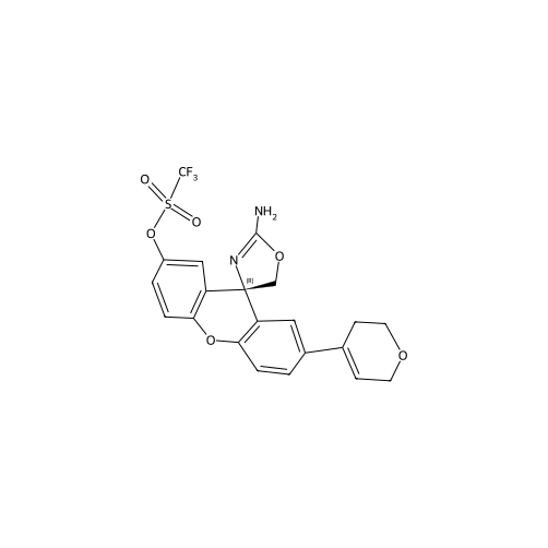 NC1=N[C@@]2(CO1)c1cc(OS(=O)(=O)C(F)(F)F)ccc1Oc1ccc(C3=CCOCC3)cc12